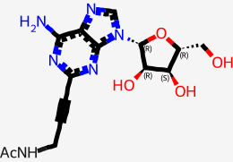 CC(=O)NCC#Cc1nc(N)c2ncn([C@@H]3O[C@H](CO)[C@@H](O)[C@H]3O)c2n1